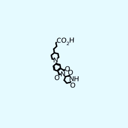 O=C(O)CCCC1CCN(c2ccc3c(c2)C(=O)N(C2CCC(=O)NC2=O)C3=O)CC1